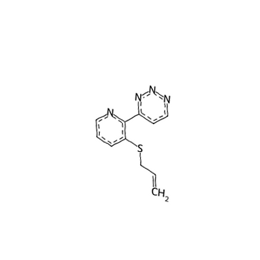 C=CCSc1cccnc1-c1ccnnn1